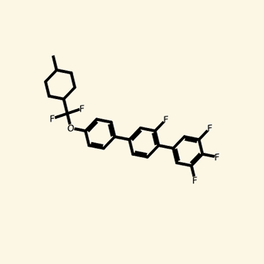 CC1CCC(C(F)(F)Oc2ccc(-c3ccc(-c4cc(F)c(F)c(F)c4)c(F)c3)cc2)CC1